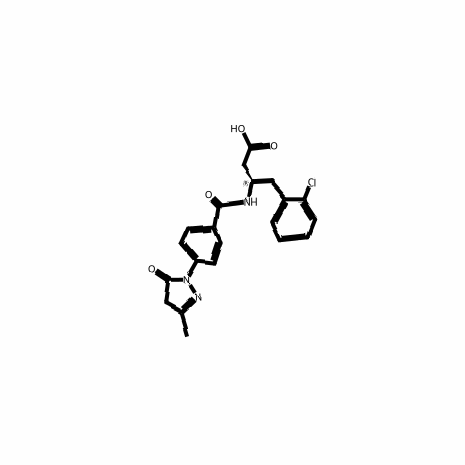 CC1=NN(c2ccc(C(=O)N[C@@H](CC(=O)O)Cc3ccccc3Cl)cc2)C(=O)C1